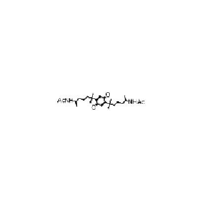 CC(=O)NC(C)CCCC(C)(C)C1=CC(=O)C(C(C)(C)CCCC(C)NC(C)=O)=CC1=O